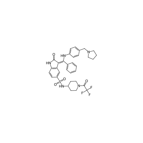 O=C1Nc2ccc(S(=O)(=O)NC3CCN(C(=O)C(F)(F)F)CC3)cc2/C1=C(/Nc1ccc(CN2CCCC2)cc1)c1ccccc1